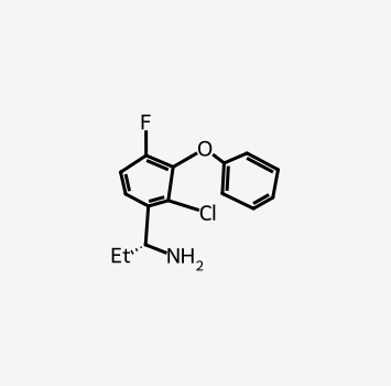 CC[C@@H](N)c1ccc(F)c(Oc2ccccc2)c1Cl